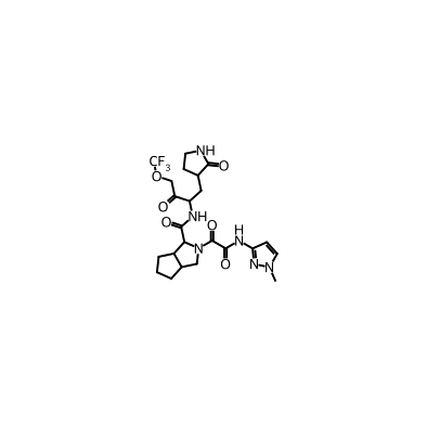 Cn1ccc(NC(=O)C(=O)N2CC3CCCC3C2C(=O)NC(CC2CCNC2=O)C(=O)COC(F)(F)F)n1